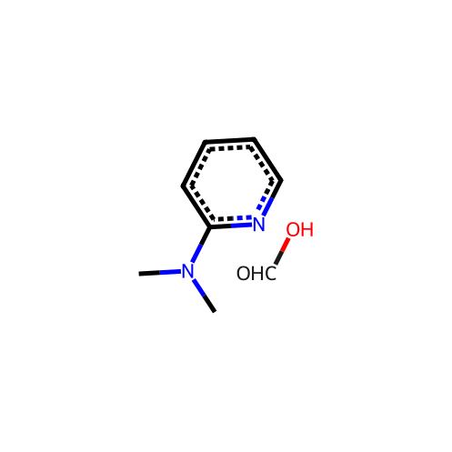 CN(C)c1ccccn1.O=CO